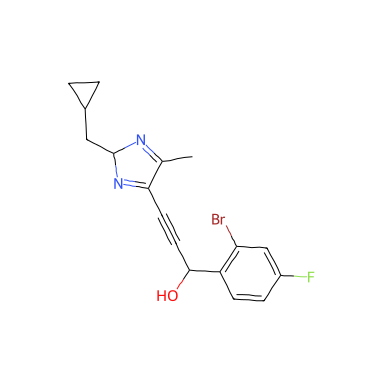 CC1=NC(CC2CC2)N=C1C#CC(O)c1ccc(F)cc1Br